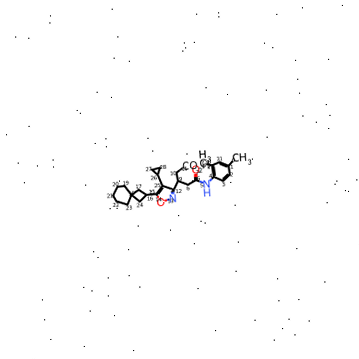 Cc1ccc(NC(=O)CC(CC(=O)O)c2noc(C3CC4(CCCCC4)C3)c2C2CC2)c(C)c1